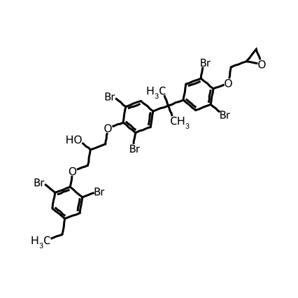 CCc1cc(Br)c(OCC(O)COc2c(Br)cc(C(C)(C)c3cc(Br)c(OCC4CO4)c(Br)c3)cc2Br)c(Br)c1